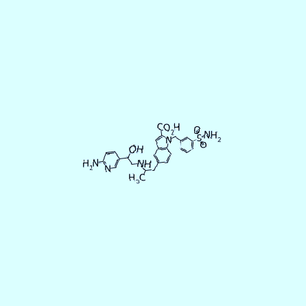 CC(Cc1ccc2c(c1)cc(C(=O)O)n2Cc1cccc(S(N)(=O)=O)c1)NCC(O)c1ccc(N)nc1